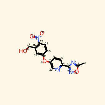 Cc1nc(-c2ccc(Oc3ccc([N+](=O)[O-])c(CO)c3)cn2)no1